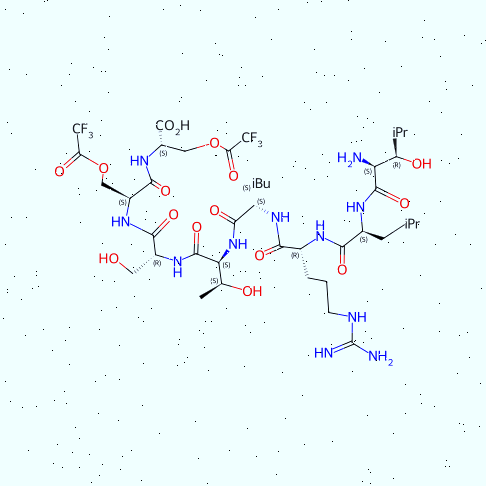 CC[C@H](C)[C@H](NC(=O)[C@@H](CCCNC(=N)N)NC(=O)[C@H](CC(C)C)NC(=O)[C@@H](N)[C@H](O)C(C)C)C(=O)N[C@H](C(=O)N[C@H](CO)C(=O)N[C@@H](COC(=O)C(F)(F)F)C(=O)N[C@@H](COC(=O)C(F)(F)F)C(=O)O)[C@H](C)O